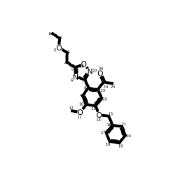 CCOCCc1nc(-c2cc(OC)c(OCc3ccccc3)cc2C(C)=O)no1